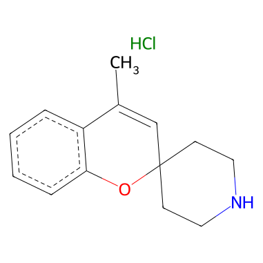 CC1=CC2(CCNCC2)Oc2ccccc21.Cl